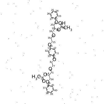 CC(=O)OC(COCCOc1ccc(OCCOCC(COc2ccccc2)OC(C)O)cc1)COc1ccccc1